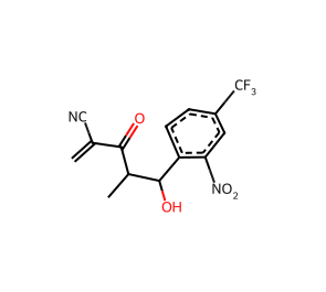 C=C(C#N)C(=O)C(C)C(O)c1ccc(C(F)(F)F)cc1[N+](=O)[O-]